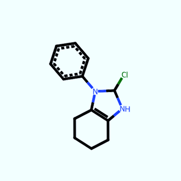 ClC1NC2=C(CCCC2)N1c1ccccc1